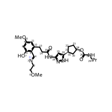 COCC/N=C/c1c(O)cc(OC)cc1CCC(=O)Nc1cc([C@H]2CC[C@@H](OC(=O)NC(C)C)C2)[nH]n1